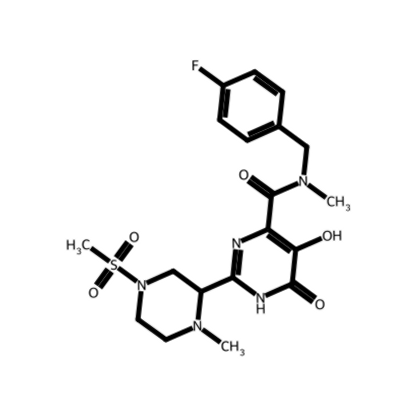 CN(Cc1ccc(F)cc1)C(=O)c1nc(C2CN(S(C)(=O)=O)CCN2C)[nH]c(=O)c1O